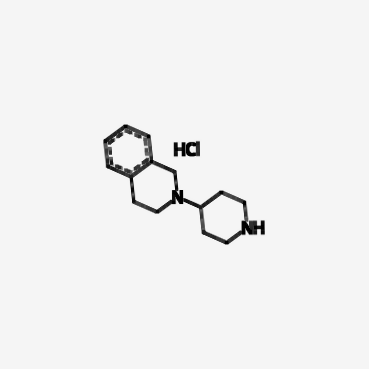 Cl.c1ccc2c(c1)CCN(C1CCNCC1)C2